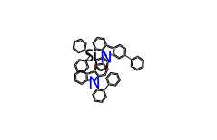 c1ccc(-c2ccc3c4cccc([Si](c5ccccc5)(c5ccccc5)c5ccccc5)c4n(-c4ccc5c(c4)c4ccccc4n5-c4ccccc4-c4ccccc4)c3c2)cc1